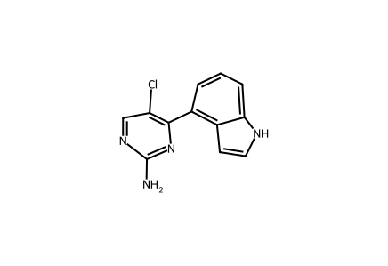 Nc1ncc(Cl)c(-c2cccc3[nH]ccc23)n1